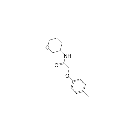 Cc1ccc(OCC(=O)NC2CCCOC2)cc1